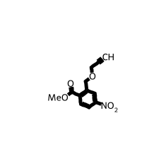 C#CCOCc1cc([N+](=O)[O-])ccc1C(=O)OC